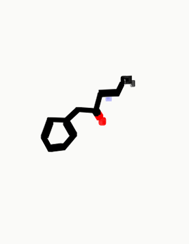 C/C=C/C(=O)Cc1ccccc1